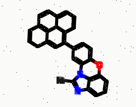 CCc1nc2cccc3c2n1-c1cc(C2=C4C=CC=C5C=CC6=C(C(=C2)CC=C6)C54)ccc1O3